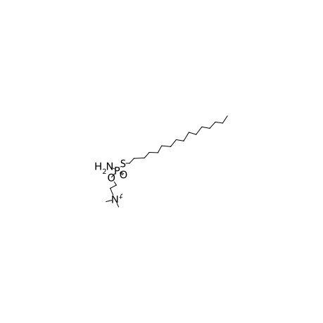 CCCCCCCCCCCCCCCCSP(N)(=O)OCC[N+](C)(C)C